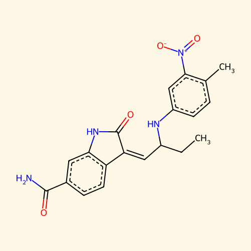 CCC(C=C1C(=O)Nc2cc(C(N)=O)ccc21)Nc1ccc(C)c([N+](=O)[O-])c1